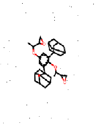 CC(Oc1cc(C23CC4CC(CC(C4)C2)C3)c(OC(C)C2CO2)c(C23CC4CC(CC(C4)C2)C3)c1)C1CO1